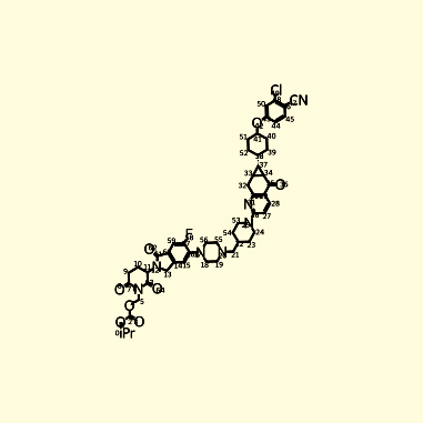 CC(C)OC(=O)OCN1C(=O)CCC(N2Cc3cc(N4CCN(CC5CCN(c6ccc7c(n6)CC6C(C7=O)[C@H]6C6CCC(Oc7ccc(C#N)c(Cl)c7)CC6)CC5)CC4)c(F)cc3C2=O)C1=O